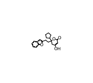 O=C1C=C(O)CC(CCc2cc3ccccc3o2)(C2CCCC2)O1